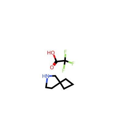 C1CC2(C1)CCNC2.O=C(O)C(F)(F)F